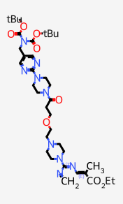 C=N/C(=N\C=C(/C)C(=O)OCC)N1CCN(CCOCCC(=O)N2CCN(c3ncc(CN(C(=O)OC(C)(C)C)C(=O)OC(C)(C)C)cn3)CC2)CC1